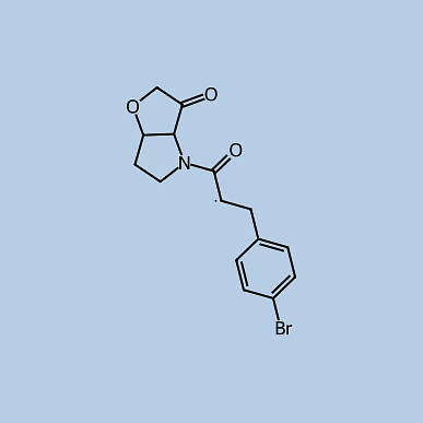 O=C1COC2CCN(C(=O)[CH]Cc3ccc(Br)cc3)C12